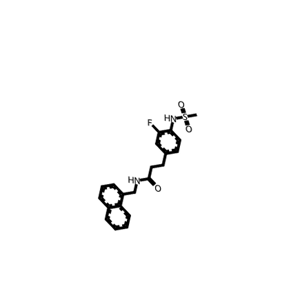 CS(=O)(=O)Nc1ccc(CCC(=O)NCc2cccc3ccccc23)cc1F